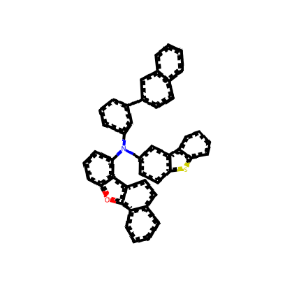 c1cc(-c2ccc3ccccc3c2)cc(N(c2ccc3sc4ccccc4c3c2)c2cccc3oc4c5ccccc5ccc4c23)c1